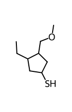 CCC1CC(S)CC1COC